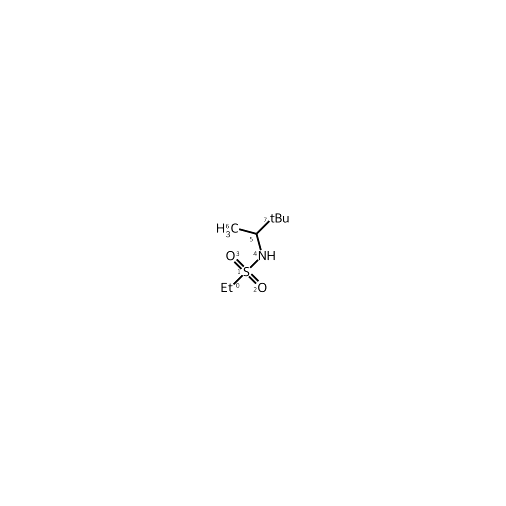 CCS(=O)(=O)NC(C)C(C)(C)C